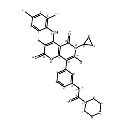 Cc1c(Nc2ccc(I)cc2F)c2c(=O)n(C3CC3)c(C)c(-c3cccc(NC(=O)N4CCOCC4)c3)c2oc1=O